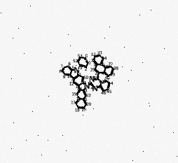 c1ccc(-n2c3ccccc3c3cc4c5cc6ccccc6cc5n(-c5nc(-c6cc7ccccc7c7ccccc67)c6ccccc6n5)c4cc32)cc1